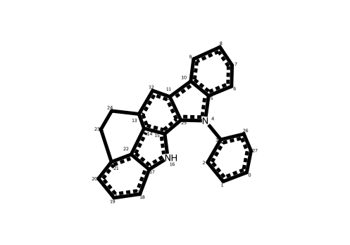 c1ccc(-n2c3ccccc3c3cc4c5c([nH]c6cccc(c65)CC4)c32)cc1